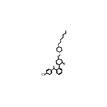 CCCCCCC[C@H]1CC[C@H](CCC2CCC(c3ccccc3C(C)c3ccc(Cl)cc3)C(F)C2)CC1